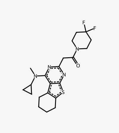 CN(c1nc(CC(=O)N2CCC(F)(F)CC2)nc2sc3c(c12)CCCC3)C1CC1